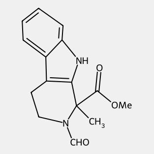 COC(=O)C1(C)c2[nH]c3ccccc3c2CCN1C=O